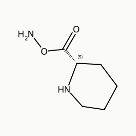 NOC(=O)[C@@H]1CCCCN1